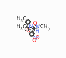 CCNC(=O)[C@@H]1[C@H]2C[C@]3(Oc4ccc([N+](=O)[O-])cc42)N1c1ccc(C)cc1C3(C)C